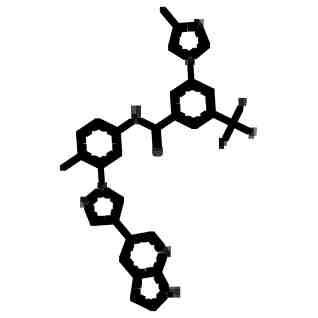 Cc1cn(-c2cc(C(=O)Nc3ccc(C)c(-n4cc(-c5cnc6[nH]ccc6c5)cn4)c3)cc(C(F)(F)F)c2)cn1